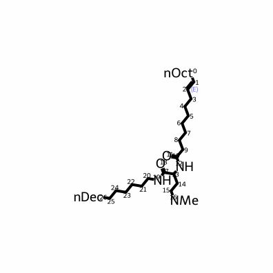 CCCCCCCC/C=C/CCCCCCCC(=O)NC(CCNC)C(=O)NCCCCCCCCCCCCCCCC